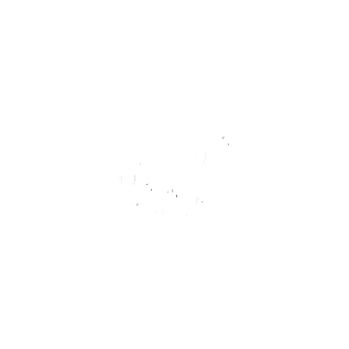 ClNCl.ClNCl.ClNCl.ClNCl.[Pd]